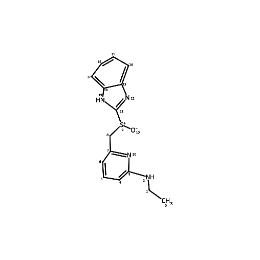 CCNc1cccc(C[S+]([O-])c2nc3ccccc3[nH]2)n1